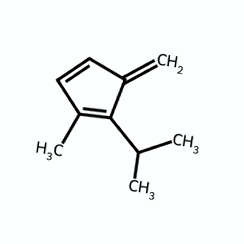 C=C1C=CC(C)=C1C(C)C